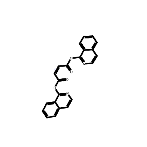 O=C(/C=C\C(=O)Oc1nccc2ccccc12)Oc1nccc2ccccc12